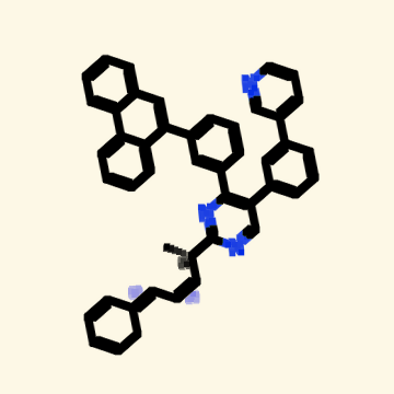 C[C@@H](/C=C\C=C1\C=CC=CC1)c1ncc(-c2cccc(-c3cccnc3)c2)c(-c2cccc(-c3cc4ccccc4c4ccccc34)c2)n1